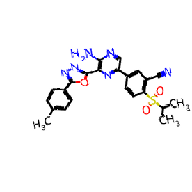 Cc1ccc(-c2nnc(-c3nc(-c4ccc(S(=O)(=O)C(C)C)c(C#N)c4)cnc3N)o2)cc1